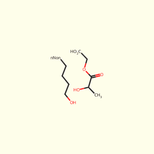 CC(O)C(=O)OCC(=O)O.CCCCCCCCCCCCCO